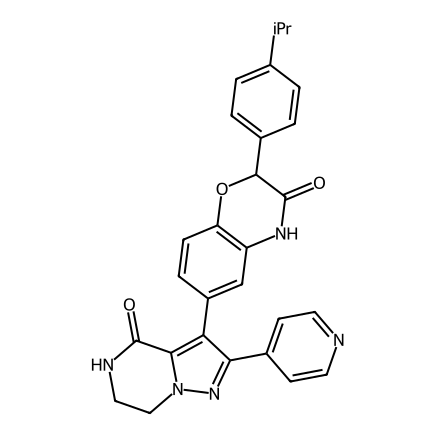 CC(C)c1ccc(C2Oc3ccc(-c4c(-c5ccncc5)nn5c4C(=O)NCC5)cc3NC2=O)cc1